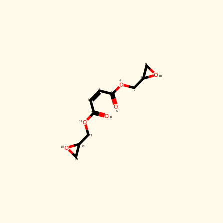 O=C(/C=C\C(=O)OCC1CO1)OCC1CO1